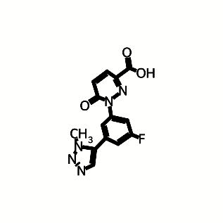 Cn1nncc1-c1cc(F)cc(-n2nc(C(=O)O)ccc2=O)c1